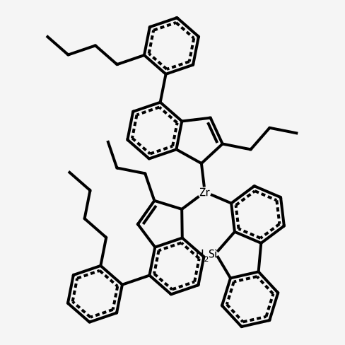 CCCCc1ccccc1-c1cccc2c1C=C(CCC)[CH]2[Zr]([c]1cccc2c1[SiH2]c1ccccc1-2)[CH]1C(CCC)=Cc2c(-c3ccccc3CCCC)cccc21